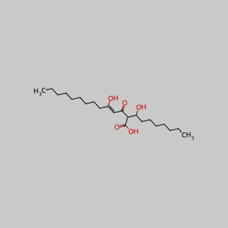 CCCCCCCCCC(O)=CC(=O)C(C(=O)O)C(O)CCCCCCC